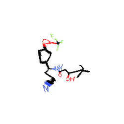 CC(C)(C)C(O)CC(=O)N[C@@H](CCC#N)c1cccc(OC(F)(F)F)c1